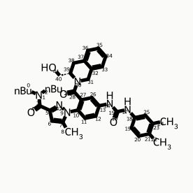 CCCCN(CCCC)C(=O)c1cc(C)n(-c2ccc(NC(=O)Nc3ccc(C)c(C)c3)cc2C(=O)N2Cc3ccccc3C[C@H]2CO)n1